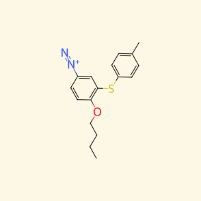 CCCCOc1ccc([N+]#N)cc1Sc1ccc(C)cc1